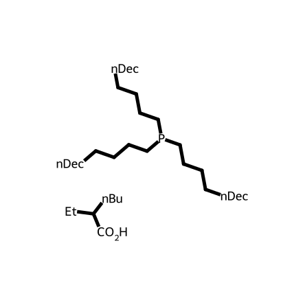 CCCCC(CC)C(=O)O.CCCCCCCCCCCCCCP(CCCCCCCCCCCCCC)CCCCCCCCCCCCCC